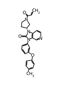 C=CC(=O)N1CC[C@@H](n2c(=O)n(-c3cccc(Oc4ccc(C)cc4)c3)c3cnccc32)C1